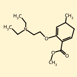 CCN(CC)CCOC1=CC(C)CC=C1C(=O)OC